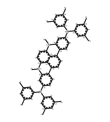 Cc1cc(C)cc(N(c2cc(C)cc(C)c2)c2ccc3c(c2)N(C)c2ccc4c5c(ccc-3c25)-c2ccc(N(c3cc(C)cc(C)c3)c3cc(C)cc(C)c3)cc2N4C)c1